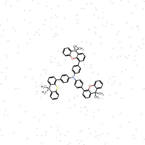 CC1(C)c2ccccc2Oc2c(-c3ccc(N(c4ccc(-c5cccc6c5Oc5ccccc5[Si]6(C)C)cc4)c4ccc(-c5cccc6c5Sc5ccccc5[Si]6(C)C)cc4)cc3)cccc21